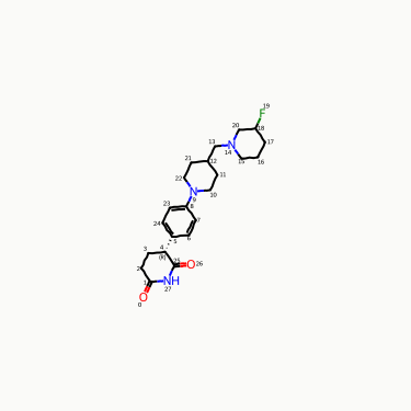 O=C1CC[C@H](c2ccc(N3CCC(CN4CCCC(F)C4)CC3)cc2)C(=O)N1